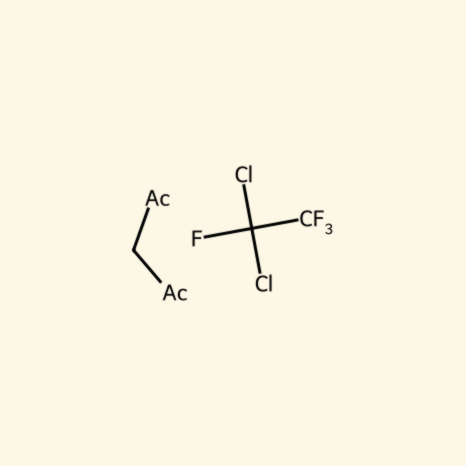 CC(=O)CC(C)=O.FC(F)(F)C(F)(Cl)Cl